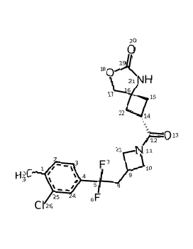 Cc1ccc(C(F)(F)CC2CN(C(=O)[C@H]3C[C@]4(COC(=O)N4)C3)C2)cc1Cl